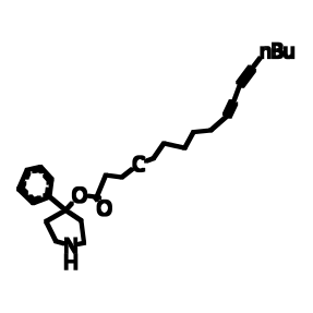 CCCCC#CC#CCCCCCCCCC(=O)OC1(c2ccccc2)CCNCC1